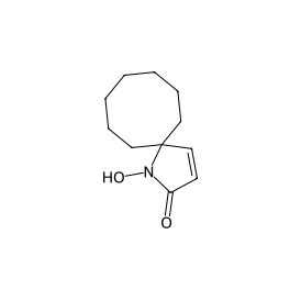 O=C1C=CC2(CCCCCCC2)N1O